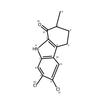 CC1CCc2c([nH]c3cc(Cl)c(Cl)cc23)C1=O